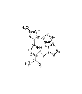 Cn1cc(C(=O)NC(Cc2ccccc2)C(=O)C(N)=O)c(-c2cc[nH]c2)n1